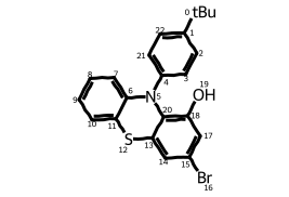 CC(C)(C)c1ccc(N2c3ccccc3Sc3cc(Br)cc(O)c32)cc1